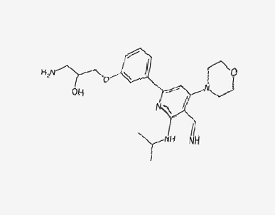 CC(C)Nc1nc(-c2cccc(OCC(O)CN)c2)cc(N2CCOCC2)c1C=N